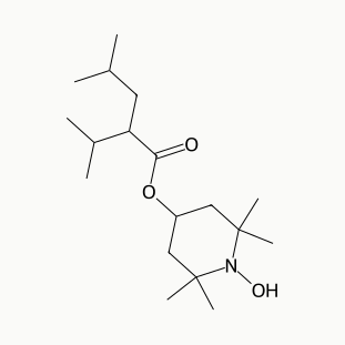 CC(C)CC(C(=O)OC1CC(C)(C)N(O)C(C)(C)C1)C(C)C